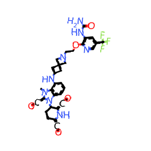 CN1C(=C=O)N(C2CCC(=C=O)NC2=C=O)c2cccc(NC3CC4(C3)CN(CCOc3ncc(C(F)(F)F)cc3NC(N)=O)C4)c21